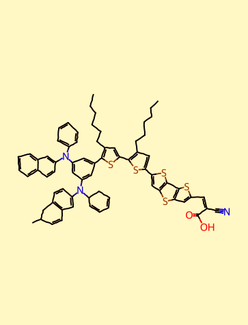 CCCCCCc1cc(-c2sc(-c3cc4sc5cc(/C=C(/C#N)C(=O)O)sc5c4s3)cc2CCCCCC)sc1-c1cc(N(c2ccccc2)c2ccc3ccccc3c2)cc(N(c2ccc3c(c2)C=CC(C)C3)C2C=CC=CC2)c1